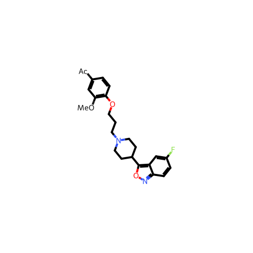 COc1cc(C(C)=O)ccc1OCCCN1CCC(c2onc3ccc(F)cc23)CC1